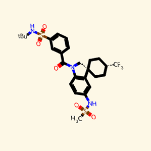 CC(C)(C)NS(=O)(=O)c1cccc(C(=O)N2C[C@]3(CC[C@@H](C(F)(F)F)CC3)c3cc(NS(C)(=O)=O)ccc32)c1